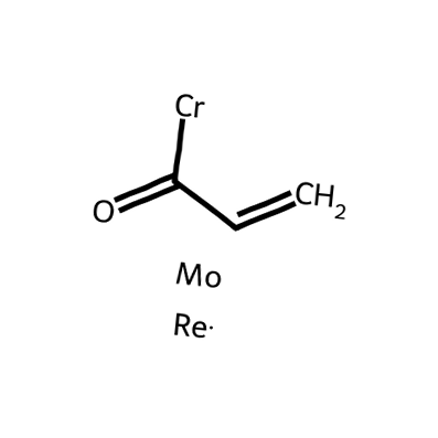 C=C[C](=O)[Cr].[Mo].[Re]